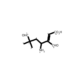 CC(C)(C=O)CC(N)/C(C=O)=C/C(=O)O